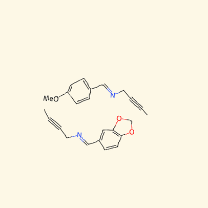 CC#CCN=Cc1ccc(OC)cc1.CC#CCN=Cc1ccc2c(c1)OCO2